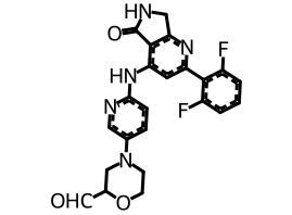 O=CC1CN(c2ccc(Nc3cc(-c4c(F)cccc4F)nc4c3C(=O)NC4)nc2)CCO1